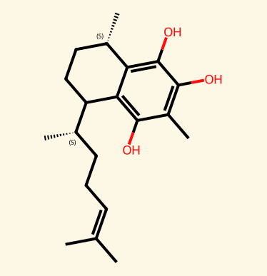 CC(C)=CCC[C@H](C)C1CC[C@H](C)c2c(O)c(O)c(C)c(O)c21